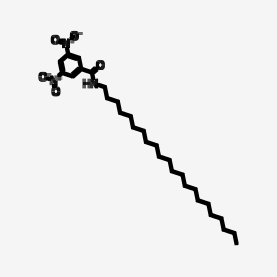 CCCCCCCCCCCCCCCCCCCCCCNC(=O)c1cc([N+](=O)[O-])cc([N+](=O)[O-])c1